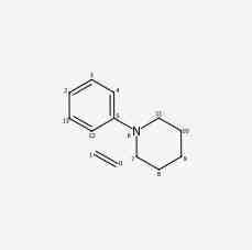 C=C.c1ccc(N2CCCCC2)cc1